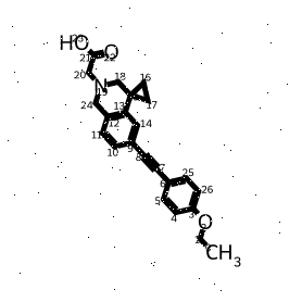 CCOc1ccc(C#Cc2ccc3c(c2)C2(CC2)CN(CC(=O)O)C3)cc1